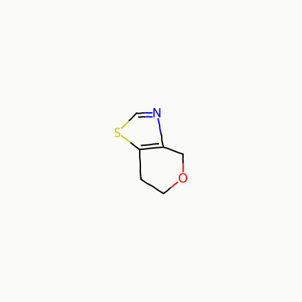 c1nc2c(s1)CCOC2